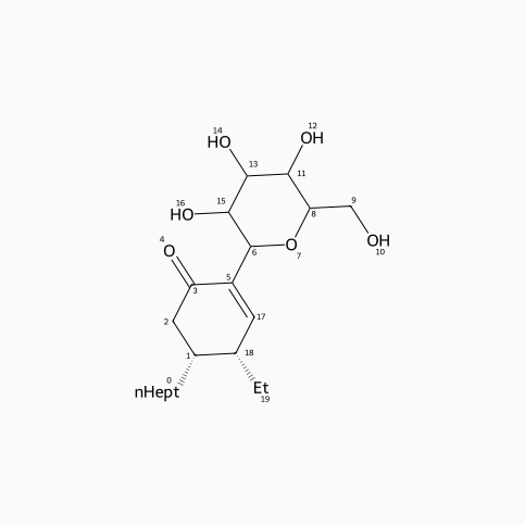 CCCCCCC[C@@H]1CC(=O)C(C2OC(CO)C(O)C(O)C2O)=C[C@@H]1CC